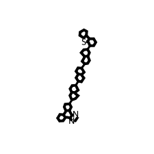 c1ccc2c(c1)sc1c(-c3ccc4cc(-c5ccc6cc(-c7ccc8cc(-c9ccc%10c%11ccccc%11c%11nccnc%11c%10c9)ccc8c7)ccc6c5)ccc4c3)cccc12